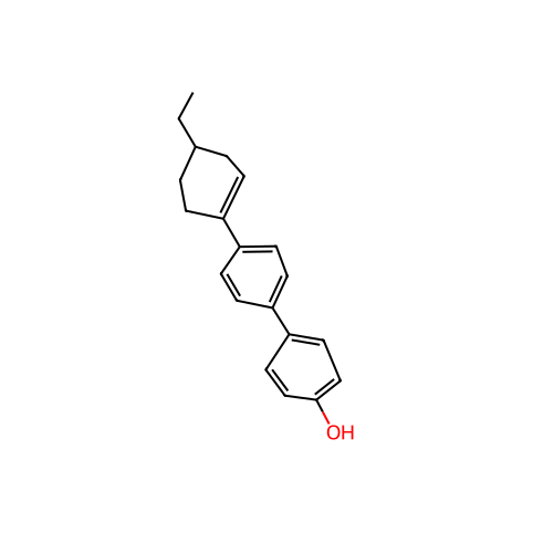 CCC1CC=C(c2ccc(-c3ccc(O)cc3)cc2)CC1